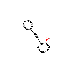 [O]c1ccccc1C#Cc1ccccc1